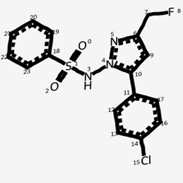 O=S(=O)(Nn1nc(CF)cc1-c1ccc(Cl)cc1)c1ccccc1